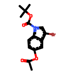 CC(=O)Oc1ccc2c(c1)c(Br)cn2C(=O)OC(C)(C)C